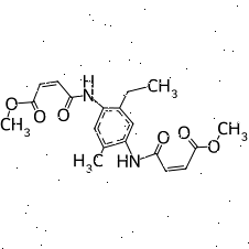 CCc1cc(NC(=O)/C=C\C(=O)OC)c(C)cc1NC(=O)/C=C\C(=O)OC